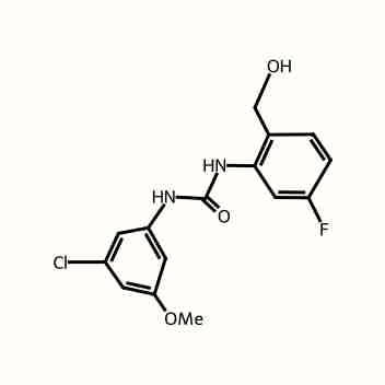 COc1cc(Cl)cc(NC(=O)Nc2cc(F)ccc2CO)c1